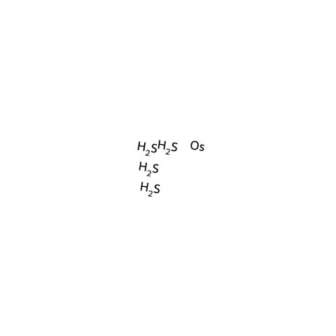 S.S.S.S.[Os]